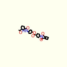 CC(=O)c1cccc(C(=O)Nc2ccc(OC(=O)c3ccc(N4C(=O)C5C6C=CC(C6)C5C4=O)cc3)cc2)c1